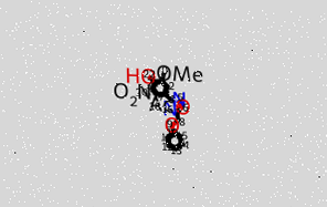 COc1cc(-c2noc(COc3ccccc3)n2)c(C(C)=O)c([N+](=O)[O-])c1O